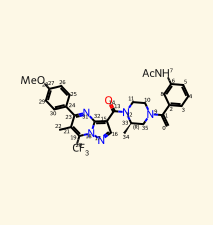 C=C(c1cccc(NC(C)=O)c1)N1CCN(C(=O)c2cnn3c(C(F)(F)F)c(C)c(-c4ccc(OC)cc4)nc23)[C@H](C)C1